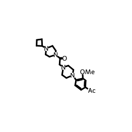 COc1cc(C(C)=O)ccc1N1CCN(CC(=O)N2CCN(C3CCC3)CC2)CC1